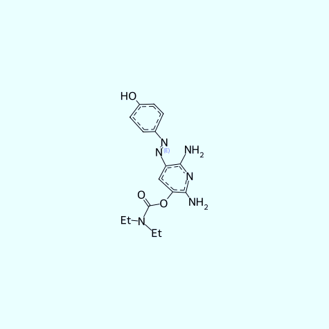 CCN(CC)C(=O)Oc1cc(/N=N/c2ccc(O)cc2)c(N)nc1N